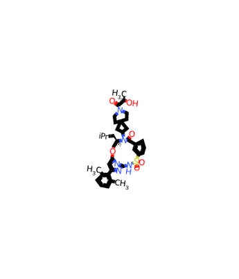 Cc1cccc(C)c1-c1cc2nc(n1)NS(=O)(=O)c1cccc(c1)C(=O)N(C1CC3(CCN(C(=O)[C@@H](C)O)CC3)C1)[C@H](CC(C)C)CO2